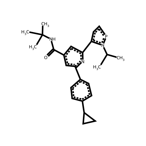 CC(C)n1pccc1-c1cc(C(=O)NC(C)(C)C)cc(-c2ccc(C3CC3)cc2)n1